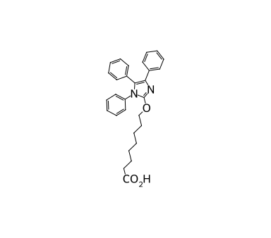 O=C(O)CCCCCCCOc1nc(-c2ccccc2)c(-c2ccccc2)n1-c1ccccc1